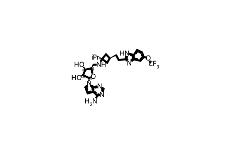 CC(C)[C@]1(NC[C@H]2O[C@@H](n3ccc4c(N)ncnc43)[C@@H](O)[C@H]2O)C[C@H](CCc2nc3cc(OC(F)(F)F)ccc3[nH]2)C1